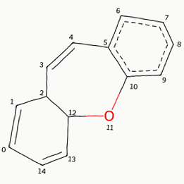 C1=CC2C=Cc3ccccc3OC2C=C1